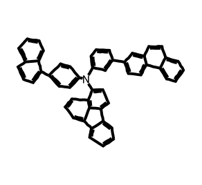 c1cc(-c2ccc3c(ccc4ccccc43)c2)cc(N(c2ccc(-c3cccc4ccccc34)cc2)c2ccc3c4c(cccc24)-c2ccccc2-3)c1